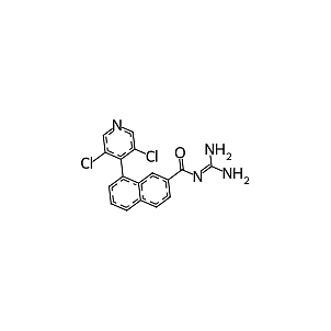 NC(N)=NC(=O)c1ccc2cccc(-c3c(Cl)cncc3Cl)c2c1